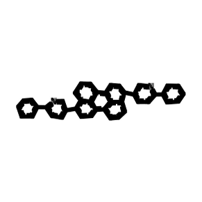 c1ccc(-c2ccc(-c3ccc4c5cccc6c(-c7ccc(-c8ccccc8)nc7)ccc(c7cccc3c74)c65)cn2)cc1